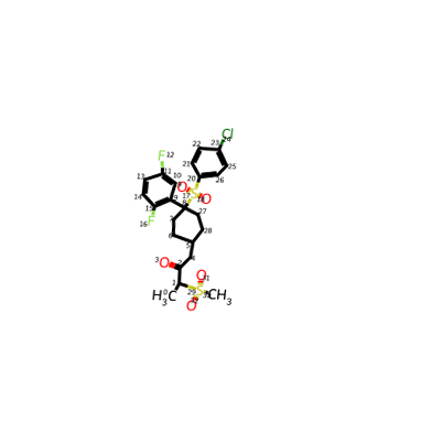 CC(C(=O)CC1CCC(c2cc(F)ccc2F)(S(=O)(=O)c2ccc(Cl)cc2)CC1)S(C)(=O)=O